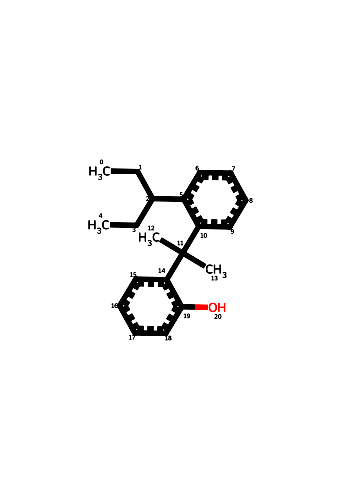 CCC(CC)c1ccccc1C(C)(C)c1ccccc1O